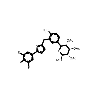 CC(=O)O[C@H]1OC(c2ccc(C)c(Cc3ccc(-c4cc(F)c(F)c(F)c4)s3)c2)[C@H](OC(C)=O)[C@@H](OC(C)=O)[C@@H]1OC(C)=O